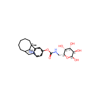 C[C@@]12CCCCCC(Cc3ccc(OC(=O)NC[C@H]4O[C@H](O)[C@H](O)[C@@H](O)[C@H]4O)cc31)[C@@H]2N